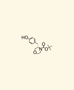 CC(C)(C)OC(=O)N1CCOC[C@@H]1Cc1ccc(O)cc1